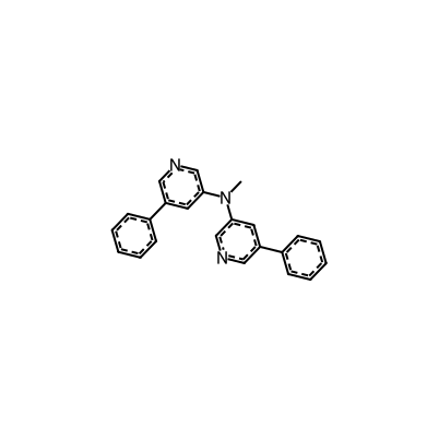 CN(c1cncc(-c2ccccc2)c1)c1cncc(-c2ccccc2)c1